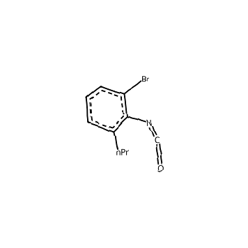 CCCc1cccc(Br)c1N=C=O